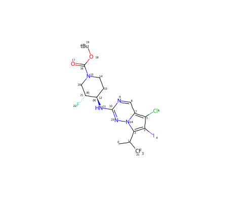 CC(c1c(I)c(Cl)c2cnc(N[C@@H]3CCN(C(=O)OC(C)(C)C)C[C@H]3F)nn12)C(F)(F)F